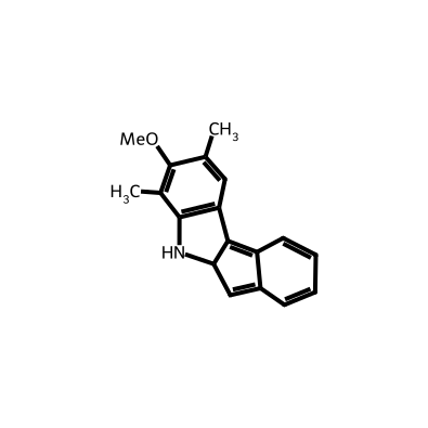 COc1c(C)cc2c(c1C)NC1C=c3ccccc3=C21